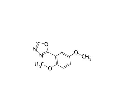 COc1ccc(OC)c(-c2nn[c]o2)c1